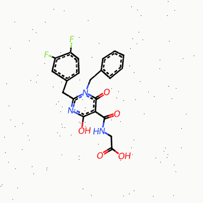 O=C(O)CNC(=O)c1c(O)nc(Cc2ccc(F)c(F)c2)n(Cc2ccccc2)c1=O